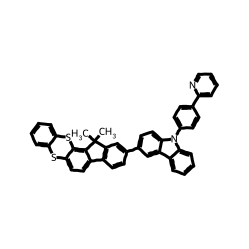 CC1(C)c2cc(-c3ccc4c(c3)c3ccccc3n4-c3ccc(-c4ccccn4)cc3)ccc2-c2ccc3c(c21)Sc1ccccc1S3